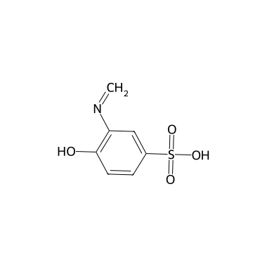 C=Nc1cc(S(=O)(=O)O)ccc1O